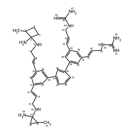 CC1CCC1(N)NC/C=C/c1cc(/C=C/CNC2(N)CC2C)cc(-c2cccc(-c3cc(/C=C/CNC(=N)N)cc(/C=C/CNC(=N)N)c3)c2)c1